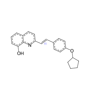 Oc1cccc2ccc(/C=C/c3ccc(OC4CCCC4)cc3)nc12